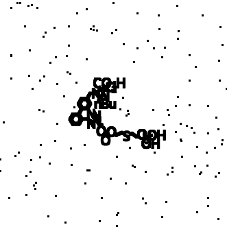 CCCCc1nc(Cl)c(C(=O)O)n1Cc1ccc(-c2ccccc2-c2nnn(COC(=O)OCCSCCON(O)O)n2)cc1